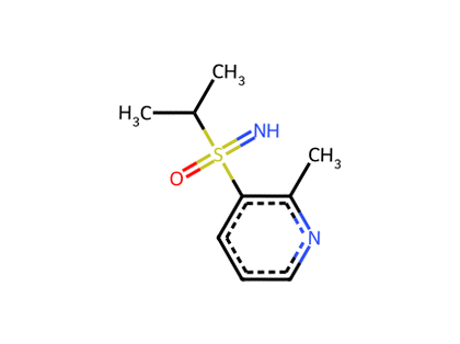 Cc1ncccc1S(=N)(=O)C(C)C